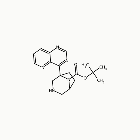 CC(C)(C)OC(=O)N1C2CCC1(c1ncnc3cccnc13)CNC2